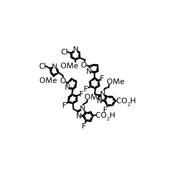 COCCn1c(Cc2cc(F)c(-c3cccc(OCc4cnc(Cl)cc4OC)n3)cc2F)nc2c(F)cc(C(=O)O)cc21.COCCn1c(Cc2cc(F)c(-c3cccc(OCc4cnc(Cl)cc4OC)n3)cc2F)nc2c(F)cc(C(=O)O)cc21